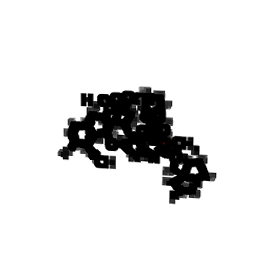 C#Cc1c(F)ccc2cc(OCOC)cc(Oc3nc4nc(OC[C@@]56CCCN5C[C@H](F)C6)nc(N5CC6CCC(C5)N6C(=O)OC(C)(C)C)c4n3C3CC(OC)C3)c12